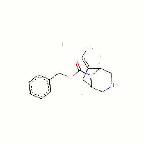 Cl.N#C/C=C1/C[C@@H]2CNC[C@H]1N2C(=O)OCc1ccccc1